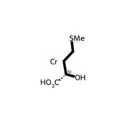 CSCC[C@H](O)C(=O)O.[Cr]